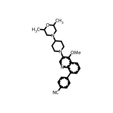 COc1c(N2CCC(N3CC(C)OC(C)C3)CC2)cnc2c(-c3ccc(C#N)cc3)cccc12